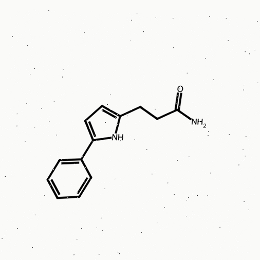 NC(=O)CCc1ccc(-c2ccccc2)[nH]1